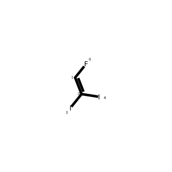 FC=C(I)I